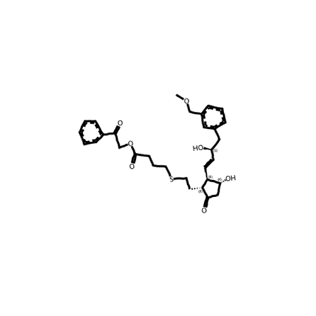 COCc1cccc(C[C@H](O)C=C[C@H]2[C@H](O)CC(=O)[C@@H]2CCSCCCC(=O)OCC(=O)c2ccccc2)c1